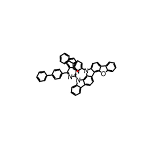 c1ccc(-c2ccc(-c3nc(-n4c5ccccc5c5ccc6c7c8oc9ccccc9c8ccc7n(-c7ccc(-c8ccccc8)cc7)c6c54)nc4ccccc34)cc2)cc1